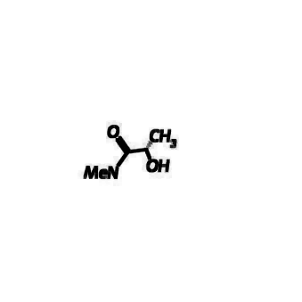 CNC(=O)[C@H](C)O